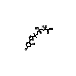 CC(C)(CCS(=N)(=O)CC[C@H](N)C(=O)O)c1ccn(-c2ccc(Cl)cc2Cl)n1